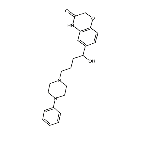 O=C1COc2ccc(C(O)CCCN3CCN(c4ccccc4)CC3)cc2N1